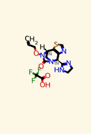 C=CCON1C(=O)N2C[C@H]1c1scnc1[C@H]2C1=NCCN1.O=C(O)C(F)(F)F